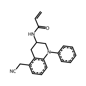 C=CC(=O)NC1Cc2c(CC#N)cccc2N(c2ccccc2)C1